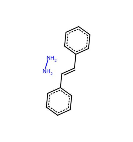 C(=Cc1ccccc1)c1ccccc1.NN